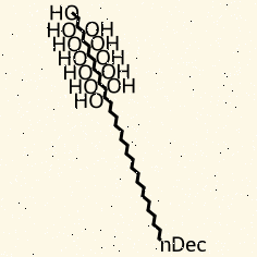 CCCCCCCCCCCCCCCCCCCCCCCCCCCCCCC(O)C(O)C(O)C(O)C(O)C(O)C(O)C(O)C(O)C(O)C(O)CO